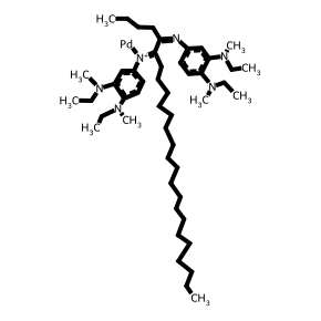 CCCCCCCCCCCCCCCCCCCC(C(CCCC)=Nc1ccc(N(C)CC)c(N(C)CC)c1)=[N+]([Pd])c1ccc(N(C)CC)c(N(C)CC)c1